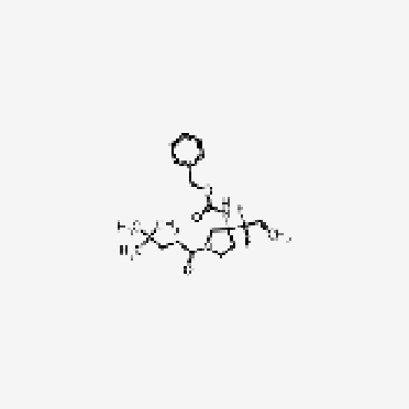 C=CC(F)(F)C1(NC(=O)OCc2ccccc2)CCN(C(=O)CCC(C)(C)C)C1